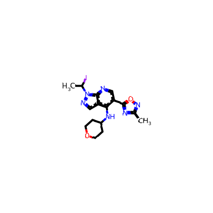 Cc1noc(-c2cnc3c(cnn3C(C)I)c2NC2CCOCC2)n1